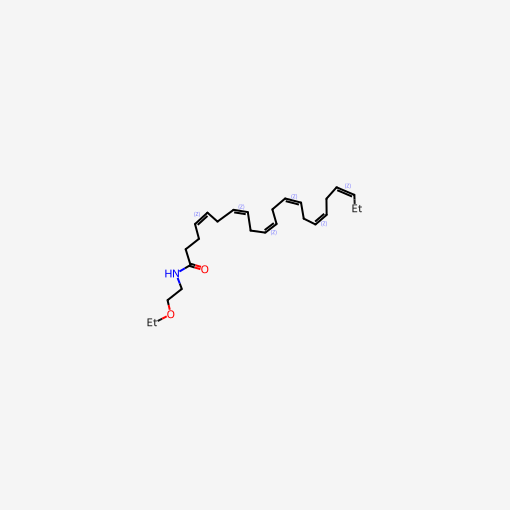 [CH2]COCCNC(=O)CC/C=C\C/C=C\C/C=C\C/C=C\C/C=C\C/C=C\CC